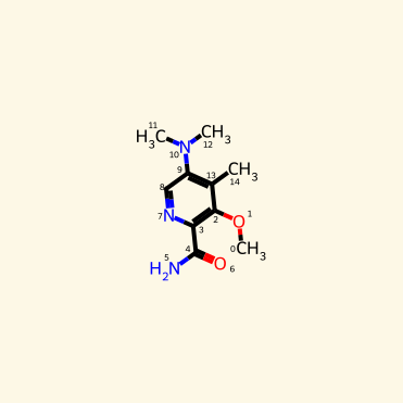 COc1c(C(N)=O)ncc(N(C)C)c1C